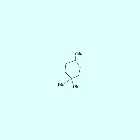 CCCCC1CCC(C(C)(C)C)(C(C)(C)C)CC1